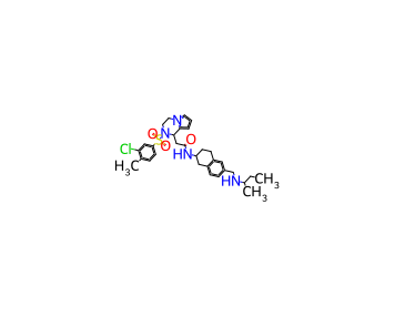 CCC(C)NCc1ccc2c(c1)CCC(NC(=O)CC1c3cccn3CCN1S(=O)(=O)c1ccc(C)c(Cl)c1)C2